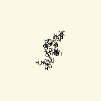 Nc1nc2c(ncn2[C@@H]2O[C@@H]3COP(=O)(O)OC4C(O)[C@H](n5cnc6c5ncn5ccnc65)O[C@@H]4COP(=O)(O)NC2C3O)c(=O)[nH]1